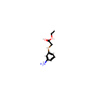 CCOC(=O)CSc1cccc(N)c1